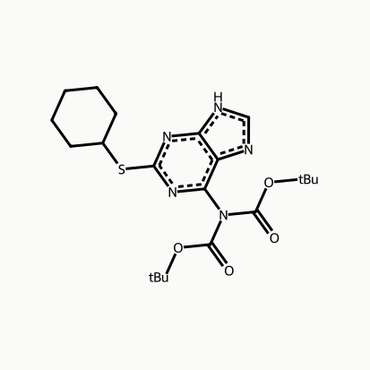 CC(C)(C)OC(=O)N(C(=O)OC(C)(C)C)c1nc(SC2CCCCC2)nc2[nH]cnc12